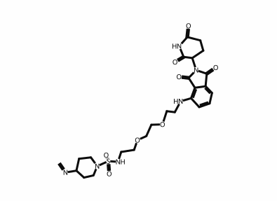 C=NC1CCN(S(=O)(=O)NCCOCCOCCNc2cccc3c2C(=O)N(C2CCC(=O)NC2=O)C3=O)CC1